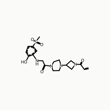 C=CC(=O)N1CC(N2CCN(C(=O)CNc3cc(S(C)(=O)=O)ccc3O)CC2)C1